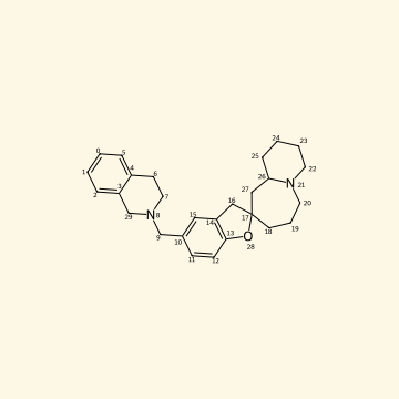 c1ccc2c(c1)CCN(Cc1ccc3c(c1)CC1(CCCN4CCCCC4C1)O3)C2